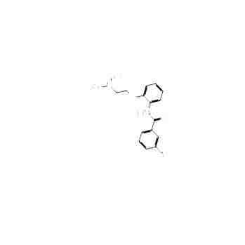 CC(C)N(CCOc1ccccc1NC(=O)c1cccc(I)c1)C(C)C